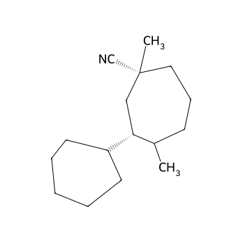 CC1CCC[C@@](C)(C#N)C[C@H]1C1CCCCC1